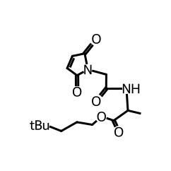 CC(NC(=O)CN1C(=O)C=CC1=O)C(=O)OCCCC(C)(C)C